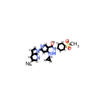 CS(=O)(=O)[C@H]1CC[C@H](NC(=O)c2cnc(-n3ccc4cc(C#N)cnc43)cc2NC2CC2)CC1